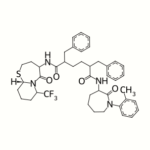 Cc1ccccc1N1CCCCC(NC(=O)C(CCC(Cc2ccccc2)C(=O)NC2CCS[C@H]3CCCC(C(F)(F)F)N3C2=O)Cc2ccccc2)C1=O